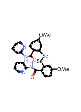 COc1ccc(C(=O)Nc2ccccn2)c([Se][Se]c2cc(OC)ccc2C(=O)Nc2ccccn2)c1